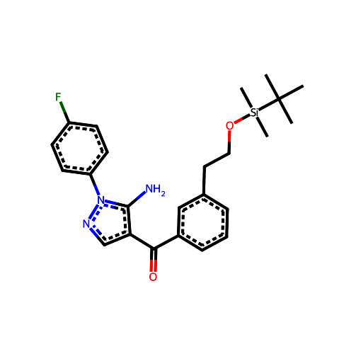 CC(C)(C)[Si](C)(C)OCCc1cccc(C(=O)c2cnn(-c3ccc(F)cc3)c2N)c1